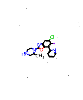 CC1CNCCN1c1nc2cc(Cl)c(I)c(-c3ccccn3)c2o1